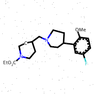 CCOC(=O)N1CCC(CN2CCC(c3cc(F)ccc3OC)CC2)CC1